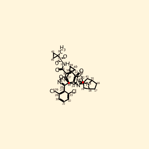 CC1(S(=O)(=O)NC(=O)c2ccc3nc(N4C5CCC4CC(N(C=O)Cc4c(-c6c(Cl)cccc6Cl)noc4C4CC4)C5)sc3c2)CC1